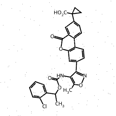 Cc1onc(-c2ccc3c(c2)oc(=O)c2cc(C4(C(=O)O)CC4)ccc23)c1NC(=O)OC(C)c1ccccc1Cl